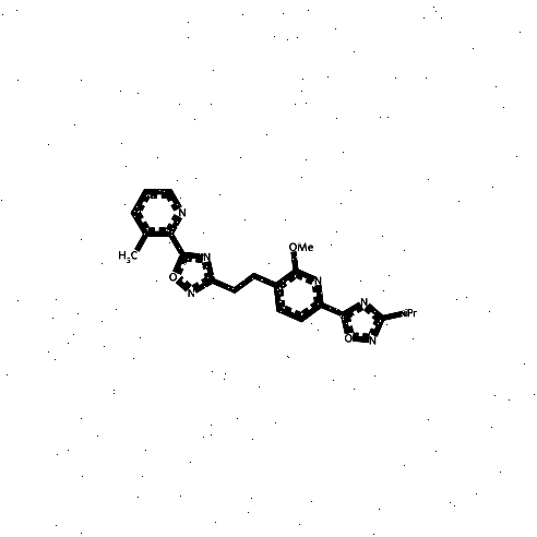 COc1nc(-c2nc(C(C)C)no2)ccc1CCc1noc(-c2ncccc2C)n1